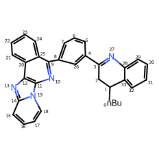 CCCCC1CC(c2cccc(-c3nc4c(nc5ccccn54)c4ccccc34)c2)=Nc2ccccc21